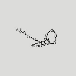 CCOCCOCCOCCN(CCO)c1cc(O)c(CN2CCOCCOCCOCCOCC2)cc1O